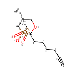 C#CCCCCC12OCC(CCC)(C[S+]1[O-])CS2(=O)=O